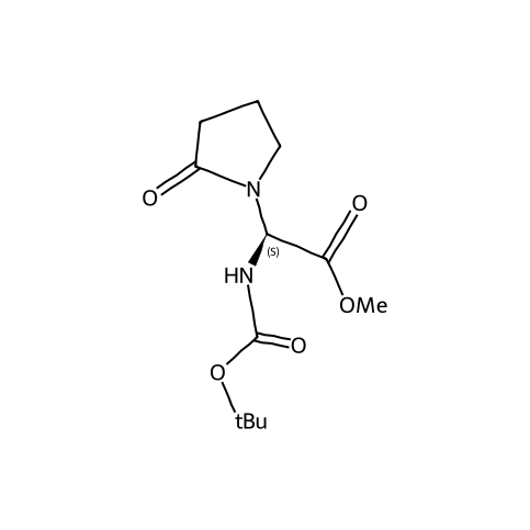 COC(=O)[C@@H](NC(=O)OC(C)(C)C)N1CCCC1=O